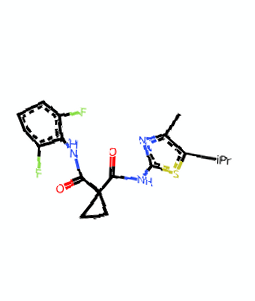 Cc1nc(NC(=O)C2(C(=O)Nc3c(F)cccc3F)CC2)sc1C(C)C